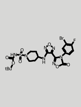 CC(C)(C)OC(=O)NS(=O)(=O)N1CCC(Nc2nonc2-c2noc(=O)n2-c2ccc(F)c(Br)c2)CC1